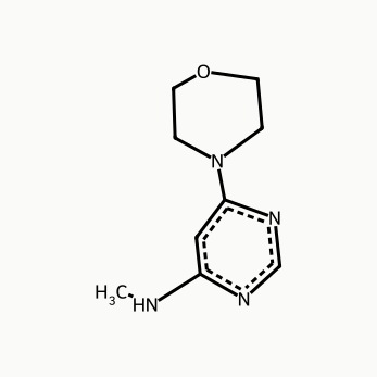 CNc1cc(N2CCOCC2)ncn1